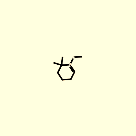 CO[N+]1=CCCCC1(C)C